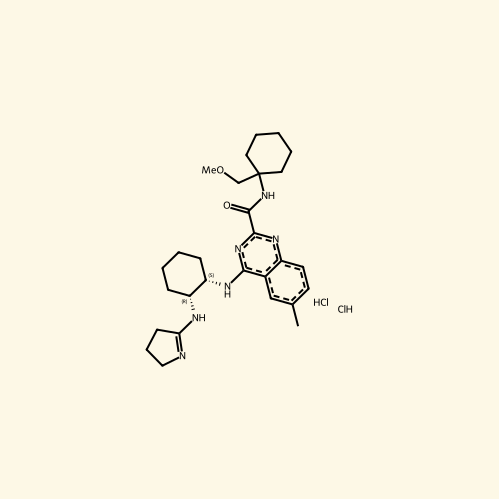 COCC1(NC(=O)c2nc(N[C@H]3CCCC[C@H]3NC3=NCCC3)c3cc(C)ccc3n2)CCCCC1.Cl.Cl